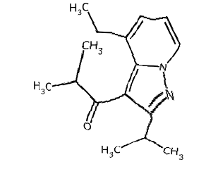 CCc1cccn2nc(C(C)C)c(C(=O)C(C)C)c12